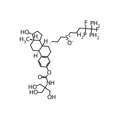 C[C@]12CC[C@@H]3c4ccc(OC(=O)NC(CO)(CO)CO)cc4C[C@@H](CCC[S+]([O-])CCCC(F)(P)C(F)(P)P)[C@H]3[C@@H]1CC[C@@H]2O